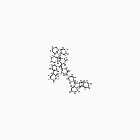 c1ccc2c(c1)-c1ccccc1C21c2ccccc2-c2ccc(N(c3ccc(-c4ccc(-n5c6ccccc6n6c7ccccc7nc56)cc4)cc3)c3cccc4c3oc3ccccc34)cc21